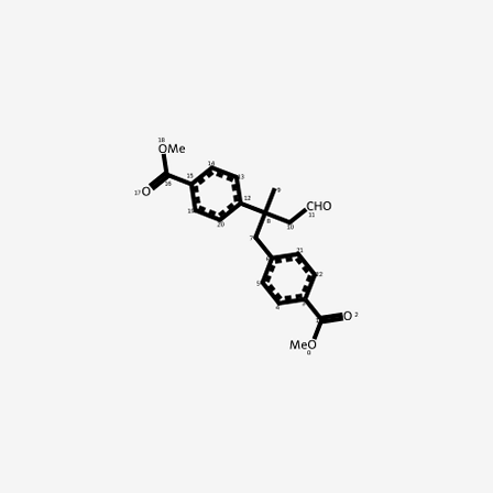 COC(=O)c1ccc(CC(C)(CC=O)c2ccc(C(=O)OC)cc2)cc1